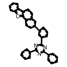 c1ccc(-c2nc(-c3ccccc3)nc(-c3cccc(-c4ccc5c(ccc6c7ccccc7oc56)c4)c3)n2)cc1